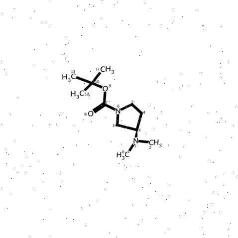 CN(C)[C@@H]1CCN(C(=O)OC(C)(C)C)C1